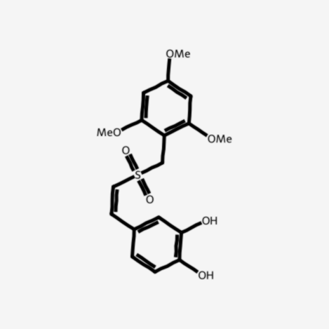 COc1cc(OC)c(CS(=O)(=O)/C=C\c2ccc(O)c(O)c2)c(OC)c1